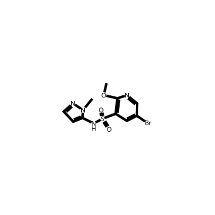 COc1ncc(Br)cc1S(=O)(=O)Nc1ccnn1C